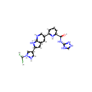 O=C(Nc1nnc[nH]1)c1cccc(-c2cnc3[nH]c(-c4cnn(C(F)F)c4)cc3c2)n1